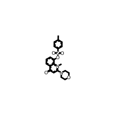 Cc1ccc(S(=O)(=O)Oc2cccc3c(=O)cc(N4CCOCC4)n(C)c23)cc1